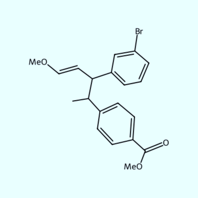 COC=CC(c1cccc(Br)c1)C(C)c1ccc(C(=O)OC)cc1